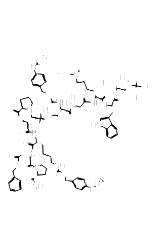 C[C@H](C[S](S)C(C)(C)C)NC(=O)[C@H](Cc1c[nH]c2ccccc12)NC(=O)[C@H](CCCCN(C)C)NC(=O)CNC(=O)[C@H](CSSC(C)(C)CN1CCCC1C(=O)OCC(=O)N[C@@H](CCCCNC(=O)OCc1ccc(N=[N+]=[N-])cc1)C(=O)N[C@@H](CC(=O)SCc1ccccc1)C(=O)N1CCC[C@H]1C(N)=O)NC(=O)OCc1ccc(N=[N+]=[N-])cc1